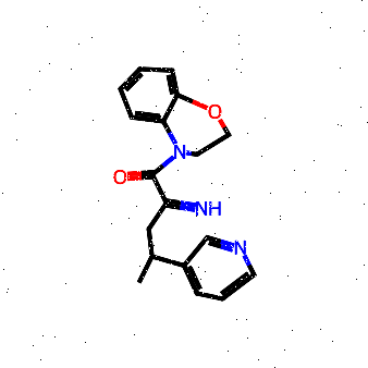 CC(CC(=N)C(=O)N1CCOc2ccccc21)c1cccnc1